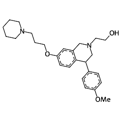 COc1ccc(C2CN(CCO)Cc3cc(OCCCN4CCCCC4)ccc32)cc1